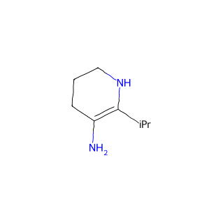 CC(C)C1=C(N)CCCN1